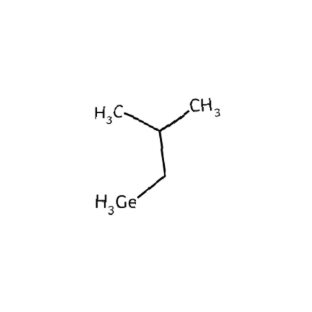 CC(C)[CH2][GeH3]